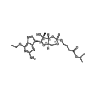 CCOc1nc(N)nc2c1ncn2[C@@H]1O[C@@H]2CO[P@@](=O)(OCCCC(=O)OC(C)C)O[C@H]2[C@@]1(C)O